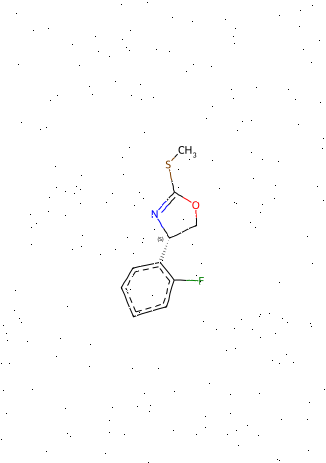 CSC1=N[C@@H](c2ccccc2F)CO1